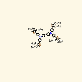 COc1c(C)sc(-c2ccc(N(c3ccc(-c4ccc(N(c5ccc(-c6sc(C)c(OC)c6OC)cc5)c5ccc(-c6sc(C)c(OC)c6OC)cc5)cc4)cc3)c3ccc(-c4sc(C)c(OC)c4OC)cc3)cc2)c1OC